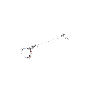 CO[C@H]1C[C@@H]2CC[C@@H](C)[C@@](O)(O2)C(=O)C(=O)N2CCCC[C@H]2C(=O)O[C@H]([C@H](N)C[C@@H]2CC[C@@H](OC(=O)NCCOCCOCCOCCOCCOCCOCCOCCOCCC(=O)N3CCc4cc(Cn5nc(-c6ccc7oc(N)nc7c6)c6c(N)ncnc65)ccc4C3)[C@H](OC)C2)C[C@@H](OC)[C@H](C)/C=C(\C)[C@@H](O)[C@@H](O)C(=O)[C@H](C)C[C@H](C)/C=C/C=C/C=C/1C